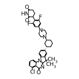 CC1(C)c2cc([C@H]3CCC[C@H](N4CCN(c5cc(F)c(C6CCC(=O)NC6=O)c(F)c5)CC4)C3)ccc2-n2c1nc(=O)c1c(Cl)cccc12